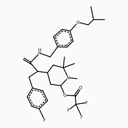 C=C(NCc1ccc(OCC(C)C)cc1)C(Cc1ccc(F)cc1)C1CC(OC(=O)C(F)(F)F)N(C)C(C)(C)C1